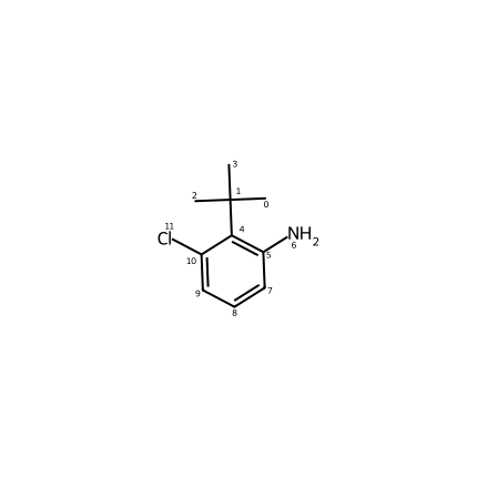 CC(C)(C)c1c(N)cccc1Cl